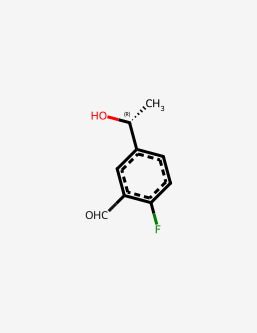 C[C@@H](O)c1ccc(F)c(C=O)c1